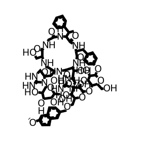 COc1ccc2cc(COCC3OC(OC4C(CO)OC(Oc5ccc(CC6NC(=O)C(C(C)c7ccccc7)NC(=O)CNC(=O)C(CO)NC(=O)C(C(O)C7CNC(=N)N7C7OC(CO)C(O)C(O)C7O)NC(=O)C(C(O)C7CNC(=N)N7)NC6=O)cc5)C(O)C4O)C(O)C(O)C3O)ccc2c1